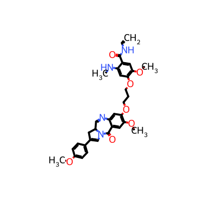 C=CNC(=O)c1cc(OC)c(OCCCOc2cc3c(cc2OC)C(=O)N2C=C(c4ccc(OC)cc4)CC2C=N3)cc1NC